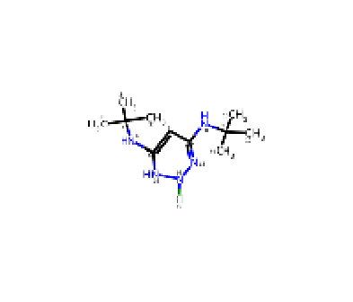 CC(C)(C)NC1=CC(NC(C)(C)C)=NN(Cl)N1